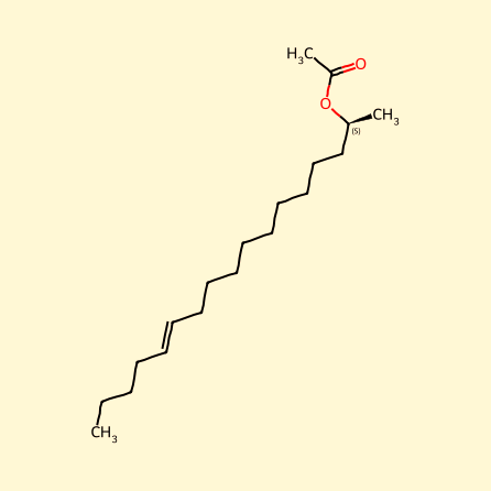 CCCCC=CCCCCCCCCC[C@H](C)OC(C)=O